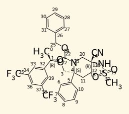 C[C@@H](OC[C@@]1(c2ccccc2)CC[C@@](C#N)(NS(C)(=O)=O)CN1C(=O)OCc1ccccc1)c1cc(C(F)(F)F)cc(C(F)(F)F)c1